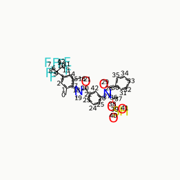 Cc1cc(C(F)(C(F)(F)F)C(F)(F)F)cc(C)c1N(C)C(=O)c1cccc(N(C(=O)c2ccccc2)C(C)O[SH](=O)=O)c1